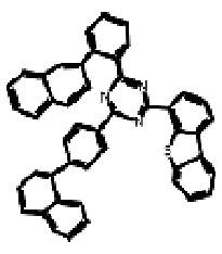 c1ccc(-c2nc(-c3ccc(-c4cccc5ccccc45)cc3)nc(-c3cccc4c3sc3ccccc34)n2)c(-c2ccc3ccccc3c2)c1